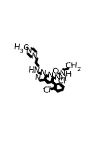 C=CCNC(=O)Nc1nc2nc(NCCCN3CCN(C)CC3)ncc2cc1-c1c(Cl)cccc1Cl